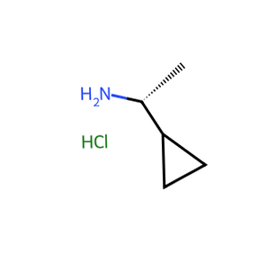 C[C@@H](N)C1CC1.Cl